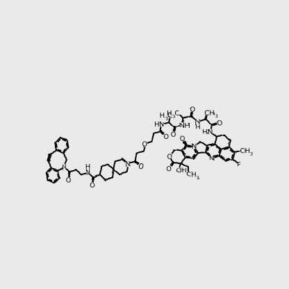 CCC1(O)C(=O)OCc2c1cc1n(c2=O)Cc2c-1nc1cc(F)c(C)c3c1c2C(NC(=O)C(C)NC(=O)C(C)NC(=O)C(C)NC(=O)CCOCCC(=O)N1CCC2(CCC(C(=O)NCCC(=O)N4Cc5ccccc5C#Cc5ccccc54)CC2)CC1)CC3